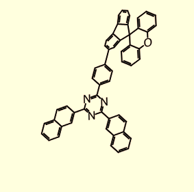 c1ccc2c(c1)Oc1ccccc1C21c2ccccc2-c2ccc(-c3ccc(-c4nc(-c5ccc6ccccc6c5)nc(-c5ccc6ccccc6c5)n4)cc3)cc21